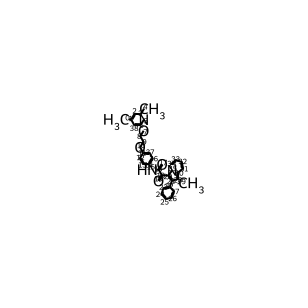 Cc1cc(C)nc(OCCOc2ccc(NC(=O)C(=O)c3c(-c4ccccc4)c(C)c4ccccn34)cc2)c1